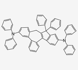 c1ccc(N(c2ccccc2)c2ccc3c(c2)-c2ccccc2C2=C(C3)C(c3ccccc3)(c3ccccc3)c3cc(N(c4ccccc4)c4ccccc4)ccc32)cc1